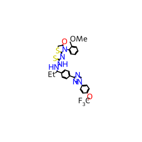 CCC(NNC(=S)/N=C1\SCC(=O)N1c1ccccc1COC)c1ccc(-c2ncn(-c3ccc(OC(F)(F)F)cc3)n2)cc1